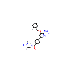 Cc1ccccc1COc1cc(-c2ccc(C(=O)N3CC(C)NC(C)C3)cc2)cnc1N